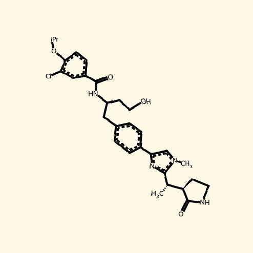 CC(C)Oc1ccc(C(=O)NC(CCO)Cc2ccc(-c3cn(C)c([C@@H](C)[C@H]4CCNC4=O)n3)cc2)cc1Cl